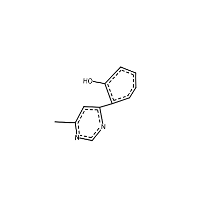 Cc1cc(-c2ccccc2O)ncn1